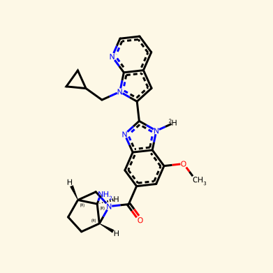 [2H]n1c(-c2cc3cccnc3n2CC2CC2)nc2cc(C(=O)N3C[C@H]4CC[C@@H]3[C@@H]4N)cc(OC)c21